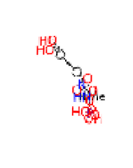 CNC(=O)C(C)(C(=O)NOCOP(=O)(O)O)N(C)C(=O)c1ccc(C#Cc2ccc([C@H](O)CO)cc2)cc1